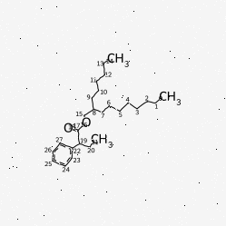 CCCCCCCCC(CCCCCC)COC(=O)C(CC)c1ccccc1